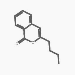 [CH2]CCCc1cc2ccccc2c(=O)o1